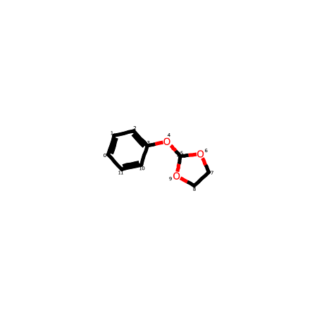 c1ccc(O[C]2OCCO2)cc1